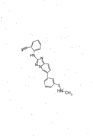 CNSc1cccc(-c2ccc3nc(Nc4ccccc4C#N)nn3c2)c1